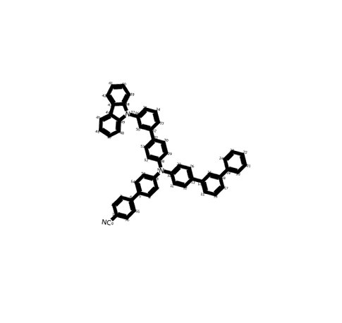 N#Cc1ccc(-c2ccc(N(c3ccc(-c4cccc(-c5ccccc5)c4)cc3)c3ccc(-c4cccc(-n5c6ccccc6c6ccccc65)c4)cc3)cc2)cc1